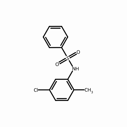 Cc1ccc(Cl)cc1NS(=O)(=O)c1ccccc1